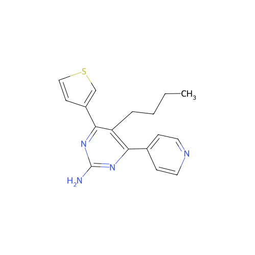 CCCCc1c(-c2ccncc2)nc(N)nc1-c1ccsc1